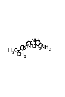 Cc1nc(N2CCC(C(C)C)CC2)ccc1NC1CCC(CN)CC1